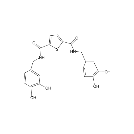 O=C(NCc1ccc(O)c(O)c1)c1ccc(C(=O)NCc2ccc(O)c(O)c2)s1